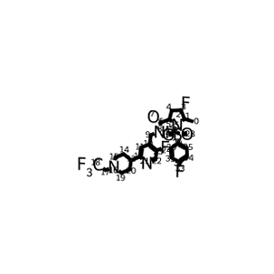 CC1C(F)CC(C(=O)NCc2cc(C3CCN(CC(F)(F)F)CC3)ncc2F)N1S(=O)(=O)c1ccc(F)cc1